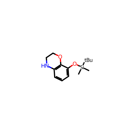 CC(C)(C)[Si](C)(C)Oc1cccc2c1OCCN2